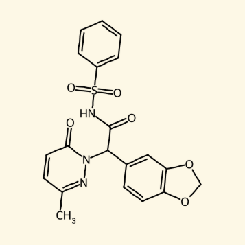 Cc1ccc(=O)n(C(C(=O)NS(=O)(=O)c2ccccc2)c2ccc3c(c2)OCO3)n1